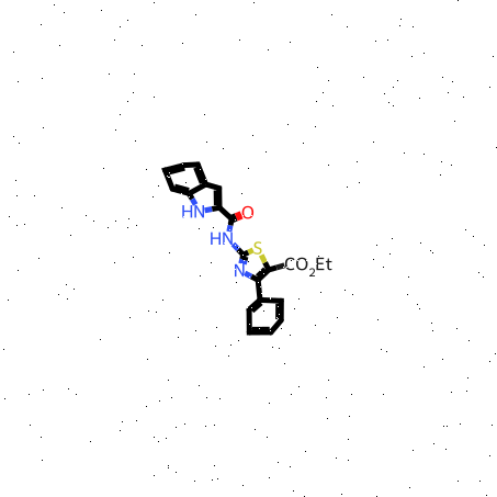 CCOC(=O)c1sc(NC(=O)c2cc3ccccc3[nH]2)nc1-c1ccccc1